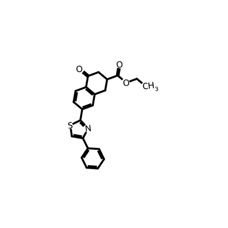 CCOC(=O)C1CC(=O)c2ccc(-c3nc(-c4ccccc4)cs3)cc2C1